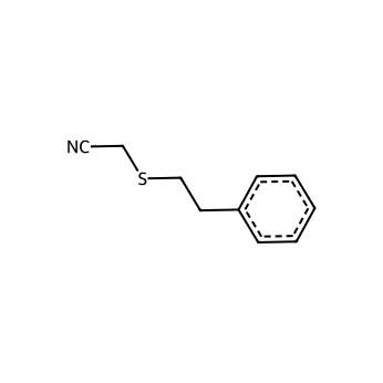 N#CCSCCc1ccccc1